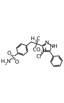 CC(Cc1ccc(S(N)(=O)=O)cc1)(C(=O)O)c1n[nH]c(-c2ccccc2)c1Cl